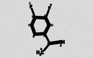 CC(=N)c1ccc(F)c(F)c1